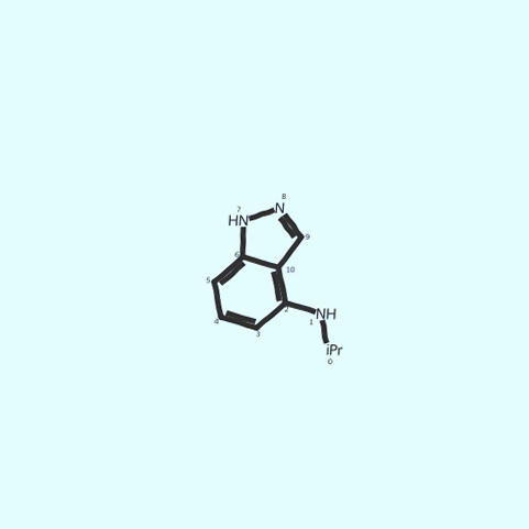 CC(C)Nc1cccc2[nH]ncc12